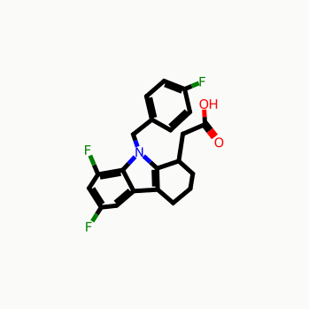 O=C(O)CC1CCCc2c1n(Cc1ccc(F)cc1)c1c(F)cc(F)cc21